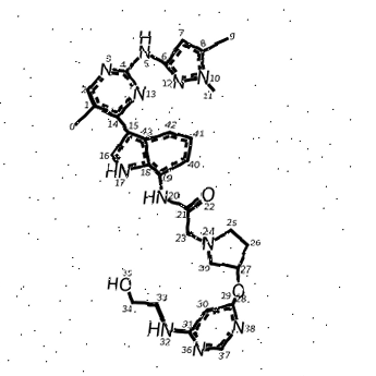 Cc1cnc(Nc2cc(C)n(C)n2)nc1-c1c[nH]c2c(NC(=O)CN3CCC(Oc4cc(NCCO)ncn4)C3)cccc12